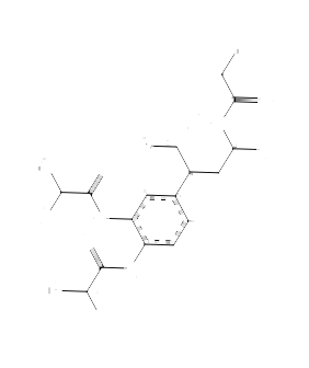 CC(C)CC(=O)OC(C)CC(c1ccc(OC(=O)C(C)C(C)C)c(OC(=O)C(C)C(C)C)c1)[C@H](N)C(=O)O